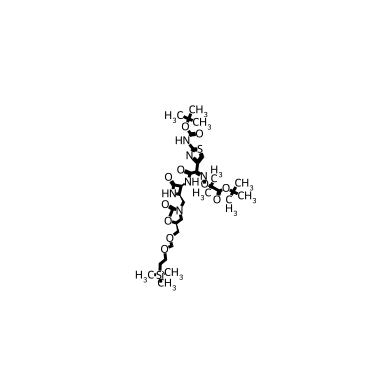 CC(C)(C)OC(=O)Nc1nc(/C(=N/OC(C)(C)C(=O)OC(C)(C)C)C(=O)N[C@@H]2C(=O)N[C@@H]2CN2C[C@@H](COCOCC[Si](C)(C)C)OC2=O)cs1